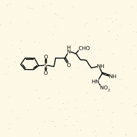 N=C(NCCCC(C=O)NC(=O)CCS(=O)(=O)c1ccccc1)N[N+](=O)[O-]